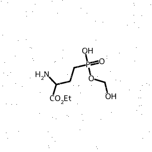 CCOC(=O)C(N)CCP(=O)(O)OCO